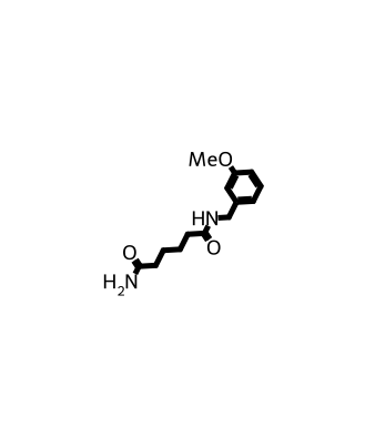 COc1cccc(CNC(=O)CCCCC(N)=O)c1